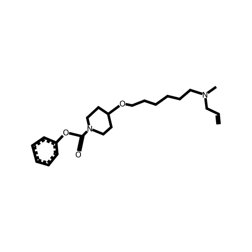 C=CCN(C)CCCCCCOC1CCN(C(=O)Oc2ccccc2)CC1